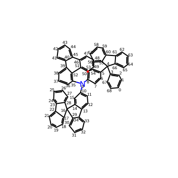 c1ccc(C2(c3ccc(N(c4ccc5c(c4)C4(c6ccccc6-c6ccccc64)c4ccccc4-5)c4cccc5c6ccccc6c6ccccc6c45)cc3)c3ccccc3-c3ccccc32)cc1